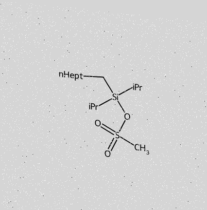 CCCCCCCC[Si](OS(C)(=O)=O)(C(C)C)C(C)C